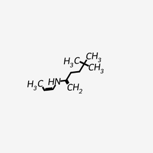 C=C(CCC(C)(C)C)N/C=C\C